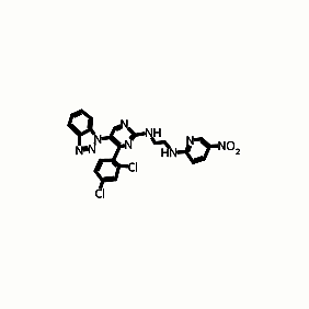 O=[N+]([O-])c1ccc(NCCNc2ncc(-n3nnc4ccccc43)c(-c3ccc(Cl)cc3Cl)n2)nc1